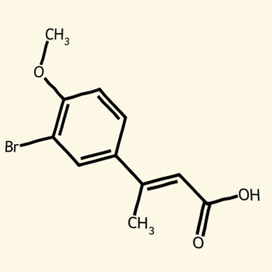 COc1ccc(C(C)=CC(=O)O)cc1Br